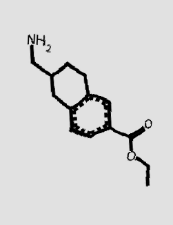 CCOC(=O)c1ccc2c(c1)CCC(CN)C2